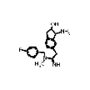 CN(Cc1ccc(F)cc1)C(=N)Cc1ccc2c(c1)C(N)C(O)C2